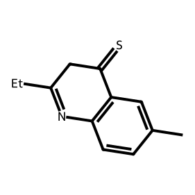 CCC1=Nc2ccc(C)cc2C(=S)C1